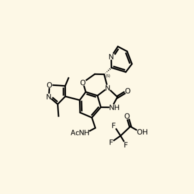 CC(=O)NCc1cc(-c2c(C)noc2C)c2c3c1[nH]c(=O)n3[C@@H](c1ccccn1)CO2.O=C(O)C(F)(F)F